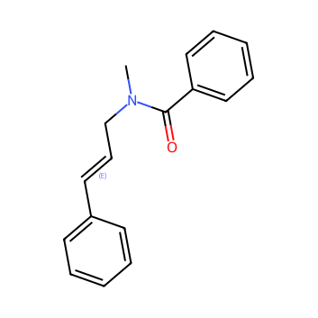 CN(C/C=C/c1ccccc1)C(=O)c1ccccc1